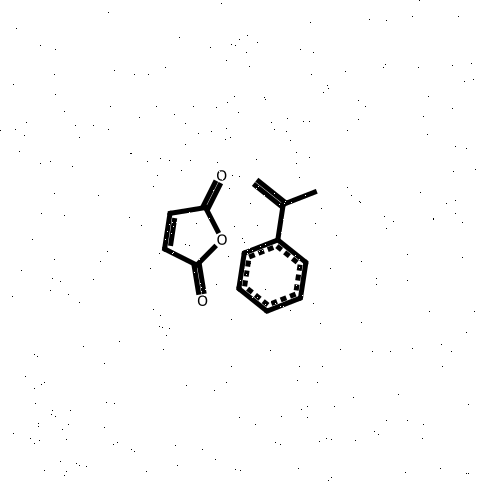 C=C(C)c1ccccc1.O=C1C=CC(=O)O1